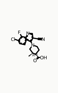 C[C@H]1CN(c2c(C#N)cnc3c(F)c(Cl)ccc23)CC[C@H]1C(=O)O